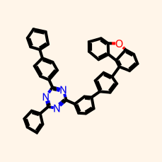 c1ccc(-c2ccc(-c3nc(-c4ccccc4)nc(-c4cccc(-c5ccc(-c6cccc7oc8ccccc8c67)cc5)c4)n3)cc2)cc1